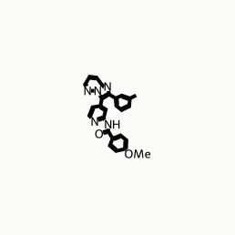 COc1ccc(C(=O)Nc2cc(-c3c(-c4cccc(C)c4)nc4cccnn34)ccn2)cc1